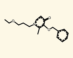 CCOCCCn1ccc(=O)c(OCc2ccccc2)c1C